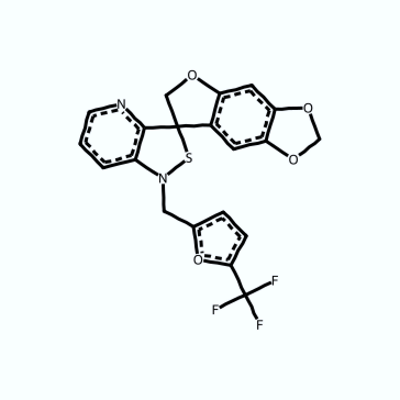 FC(F)(F)c1ccc(CN2SC3(COc4cc5c(cc43)OCO5)c3ncccc32)o1